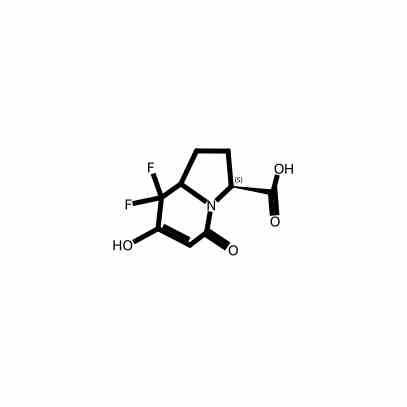 O=C(O)[C@@H]1CCC2N1C(=O)C=C(O)C2(F)F